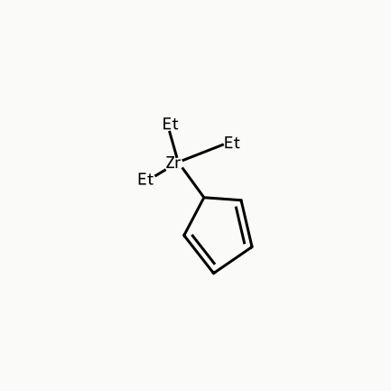 C[CH2][Zr]([CH2]C)([CH2]C)[CH]1C=CC=C1